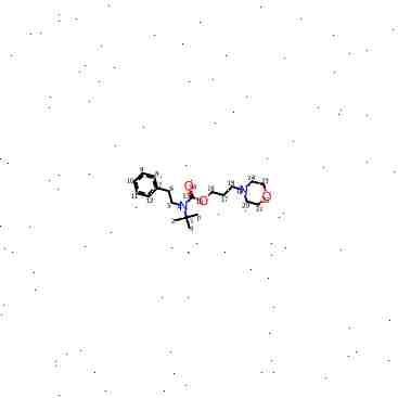 CC(C)(C)N(CCc1ccccc1)C(=O)OCCCN1CCOCC1